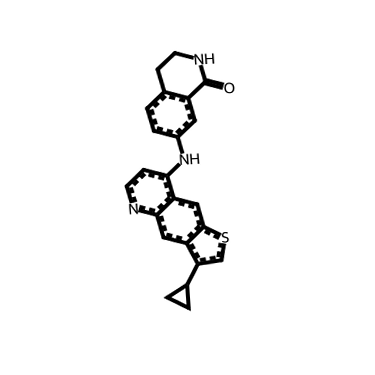 O=C1NCCc2ccc(Nc3ccnc4cc5c(C6CC6)csc5cc34)cc21